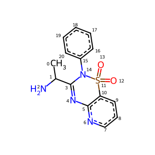 CC(N)C1=Nc2ncccc2S(=O)(=O)N1c1ccccc1